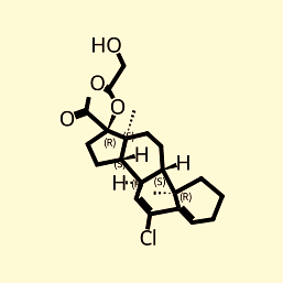 CC(=O)[C@@]1(OC(=O)CO)CC[C@H]2[C@@H]3C=C(Cl)C4=CCCC[C@]4(C)[C@H]3CC[C@@]21C